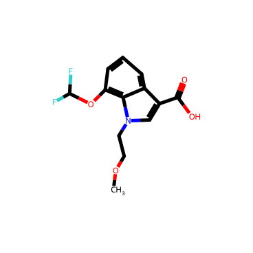 COCCn1cc(C(=O)O)c2cccc(OC(F)F)c21